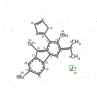 CC(C)=c1cc2c(c(C3=CC=CC3)c1C(C)(C)C)=[C]([Ti+2])c1cc(C(C)(C)C)ccc1-2.[Cl-].[Cl-]